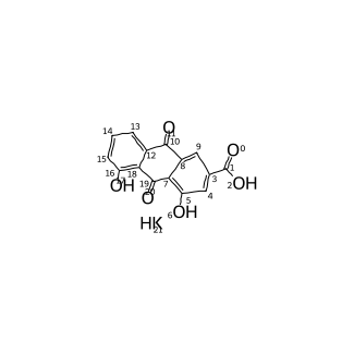 O=C(O)c1cc(O)c2c(c1)C(=O)c1cccc(O)c1C2=O.[KH]